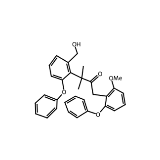 COc1cccc(Oc2ccccc2)c1CC(=O)C(C)(C)c1c(CO)cccc1Oc1ccccc1